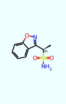 C[C@H](c1noc2ccccc12)S(N)(=O)=O